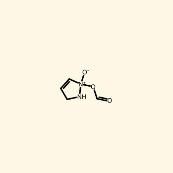 O=CO[N+]1([O-])C=CCN1